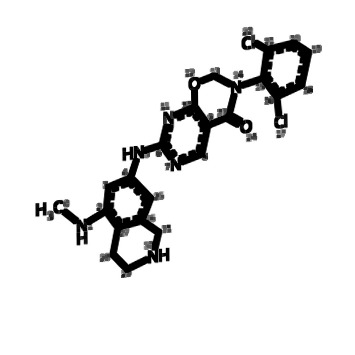 CNc1cc(Nc2ncc3c(n2)OCN(c2c(Cl)cccc2Cl)C3=O)cc2c1CCNC2